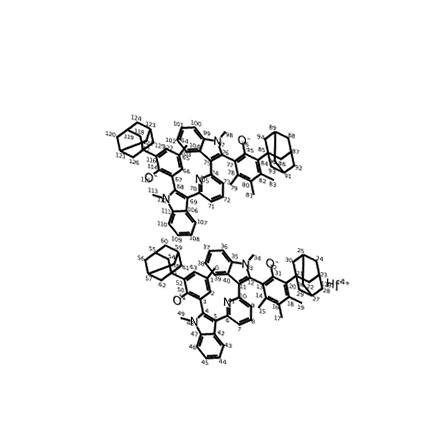 Cc1cc(-c2c(-c3cccc(-c4c(-c5c(C)c(C)c(C)c(C67CC8CC(CC(C8)C6)C7)c5[O-])n(C)c5ccccc45)n3)c3ccccc3n2C)c([O-])c(C23CC4CC(CC(C4)C2)C3)c1.Cc1cc(-c2c(-c3cccc(-c4c(-c5c(C)c(C)c(C)c(C67CC8CC(CC(C8)C6)C7)c5[O-])n(C)c5ccccc45)n3)c3ccccc3n2C)c([O-])c(C23CC4CC(CC(C4)C2)C3)c1.[Hf+4]